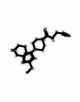 CSc1nc2c(c(N3CCN(C(=O)OCC#N)CC3)n1)CCNC2